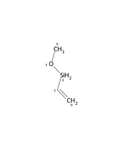 C=C[SiH2]OC